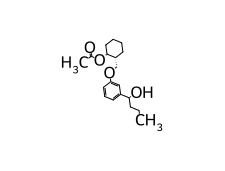 CCC[C@@H](O)c1cccc(OC[C@H]2CCCC[C@H]2OC(C)=O)c1